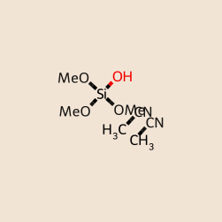 CC#N.CC#N.CO[Si](O)(OC)OC